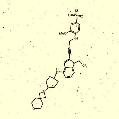 CCS(=O)(=O)c1ccc(NCC#Cc2cc3c(NC4CCC(N5CC6(CCOCC6)C5)CC4)cccc3n2CC(F)(F)F)c(OC)c1